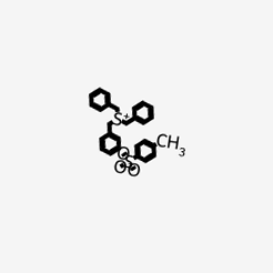 Cc1ccc(S(=O)(=O)[O-])cc1.c1ccc(C[S+](Cc2ccccc2)Cc2ccccc2)cc1